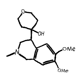 COc1cc2c(cc1OC)C(C1(O)CCOCC1)CN(C)C2